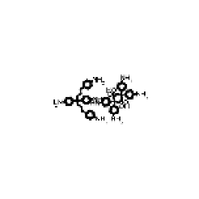 Nc1ccc(CCCC(CCCc2ccc(N)cc2)(c2ccc(N)cc2)c2ccc(NNc3ccc(C4(c5ccc(N)cc5O)CCC(c5ccc(N)cc5O)(c5ccc(N)cc5O)CC4)c(O)c3)cc2)cc1